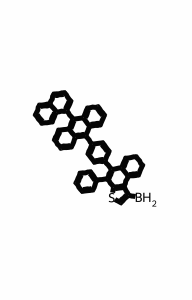 Bc1csc2c(-c3ccccc3)c(-c3ccc(-c4c5ccccc5c(-c5cccc6ccccc56)c5ccccc45)cc3)c3c(c12)=CCCC=3